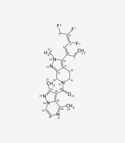 C=C/C(=C\C(F)=C(\F)CF)c1c2c(nn1C)CN(C(=O)c1c(C)nn3ccnc(C)c13)CC2